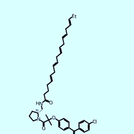 CCC=CCC=CCC=CCC=CCC=CCCCC(=O)NC[C@H]1CCCN1C(=O)C(C)(C)Oc1ccc(C(=O)c2ccc(Cl)cc2)cc1